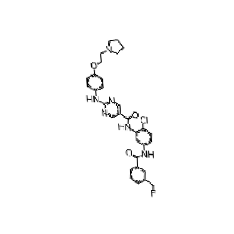 O=C(Nc1ccc(Cl)c(NC(=O)c2cnc(Nc3ccc(OCCN4CCCC4)cc3)nc2)c1)c1cccc(CF)c1